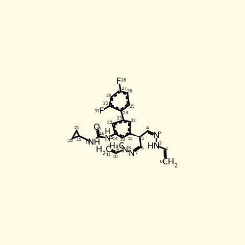 C=CN/N=C\[C@@H](/C=N\N(C)C=C)c1cc(NC(=O)NC2CC2)cc(-c2ccc(F)cc2F)c1